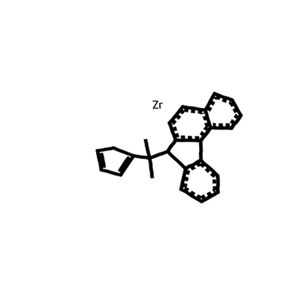 CC(C)(C1=CC=CC1)C1c2ccccc2-c2c1ccc1ccccc21.[Zr]